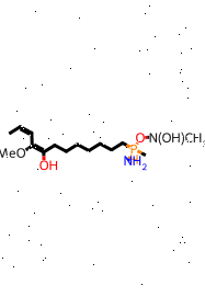 C/C=C\C(OC)=C(\O)CCCCCCC[PH](C)(N)ON(C)O